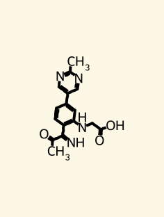 CC(=O)C(=N)c1ccc(-c2cnc(C)nc2)cc1NCC(=O)O